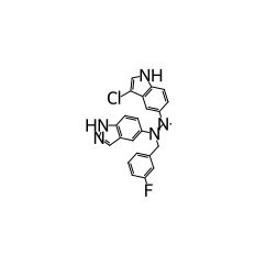 Fc1cccc(CN([N]c2ccc3[nH]cc(Cl)c3c2)c2ccc3[nH]ncc3c2)c1